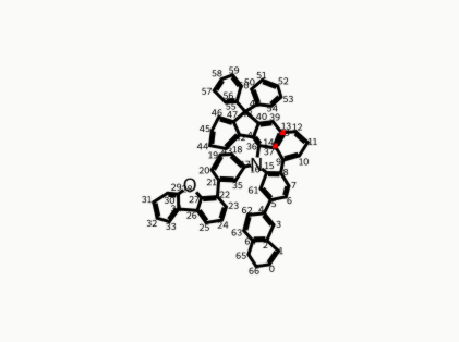 C1=Cc2cc(-c3ccc(-c4ccccc4)c(N(c4cccc(-c5cccc6c5oc5ccccc56)c4)c4cccc5c4-c4ccccc4C5(c4ccccc4)c4ccccc4)c3)ccc2CC1